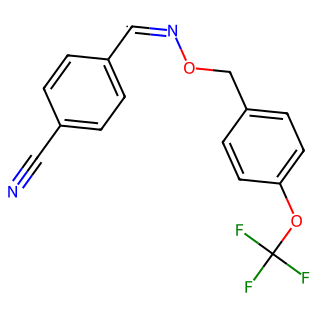 N#Cc1ccc(/[C]=N\OCc2ccc(OC(F)(F)F)cc2)cc1